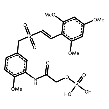 COc1cc(OC)c(/C=C/S(=O)(=O)Cc2ccc(OC)c(NC(=O)COP(=O)(O)O)c2)c(OC)c1